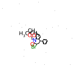 CC(C)(C)OC(=O)CN1C(=O)C(Br)CC(c2ccccc2)c2ccccc21